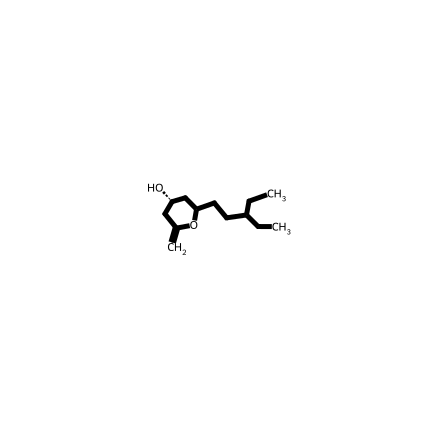 C=C1C[C@H](O)CC(CCC(CC)CC)O1